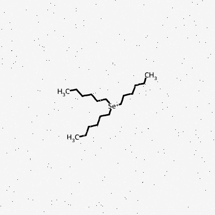 CCCCCC[Se+](CCCCCC)CCCCCC